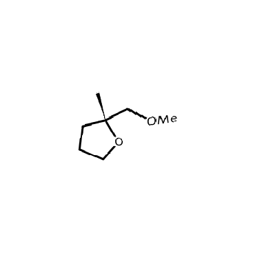 COC[C@@]1(C)CCCO1